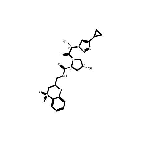 CC(C)(C)[C@@H](C(=O)N1C[C@H](O)C[C@H]1C(=O)NCC1CS(=O)(=O)c2ccccc2O1)n1cc(C2CC2)nn1